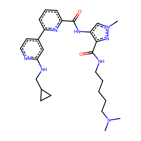 CN(C)CCCCCNC(=O)c1nn(C)cc1NC(=O)c1cccc(-c2ccnc(NCC3CC3)c2)n1